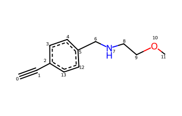 C#Cc1ccc(CNCCOC)cc1